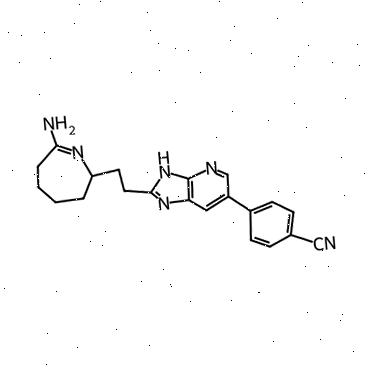 N#Cc1ccc(-c2cnc3[nH]c(CCC4CCCCC(N)=N4)nc3c2)cc1